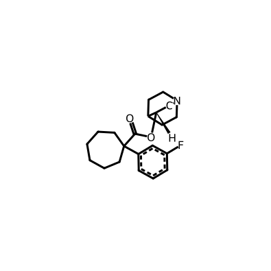 O=C(O[C@H]1CN2CCC1CC2)C1(c2cccc(F)c2)CCCCCC1